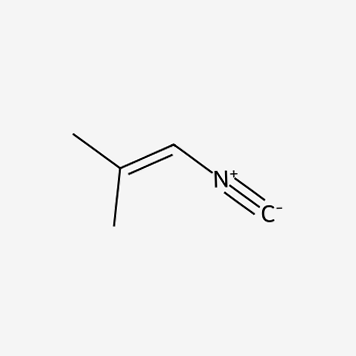 [C-]#[N+]C=C(C)C